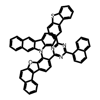 c1ccc2cc3c(cc2c1)c1ccccc1n3-c1c(-c2nc(-c3ccc4sc5ccccc5c4c3)nc(-c3cccc4ccccc34)n2)ccc2c1oc1ccc3ccccc3c12